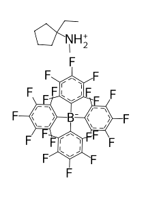 CCC1([NH2+]C)CCCC1.Fc1c(F)c(F)c([B-](c2c(F)c(F)c(F)c(F)c2F)(c2c(F)c(F)c(F)c(F)c2F)c2c(F)c(F)c(F)c(F)c2F)c(F)c1F